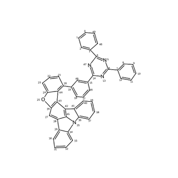 c1ccc(-c2nc(-c3ccccc3)nc(-c3cccc(-c4cccc5oc6cc7c8ccccc8n8c9ccccc9c(c6c45)c78)c3)n2)cc1